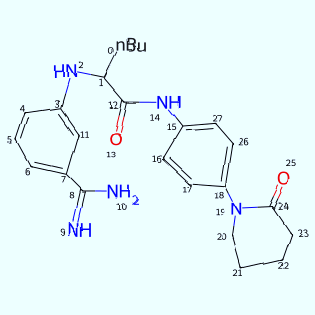 CCCCC(Nc1cccc(C(=N)N)c1)C(=O)Nc1ccc(N2CCCCC2=O)cc1